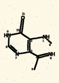 CNc1c(C(C)=N)nc[nH]c1=O